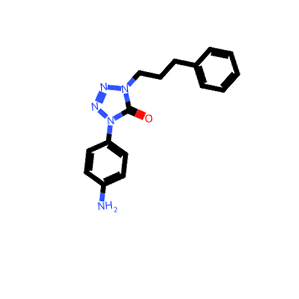 Nc1ccc(-n2nnn(CCCc3ccccc3)c2=O)cc1